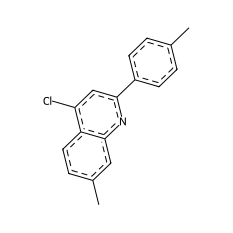 Cc1ccc(-c2cc(Cl)c3ccc(C)cc3n2)cc1